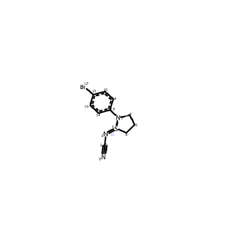 N#C/N=S1\CCCN1c1ccc(Br)cc1